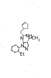 C=C1NC(CC2C=CCC2)=Nc2c1cnn2-c1ccccc1CC